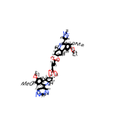 CCOc1cc2c(cc1OC)C(c1cncnc1)=N[C@@H]1CC[C@@H](OC(=O)/C=C/C(=O)O[C@@H]3CC[C@H]4N=C(c5cncnc5)c5cc(OC)c(OCC)cc5[C@H]4C3)C[C@H]21